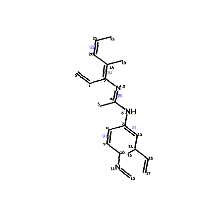 C=CC(/N=C(\C)NC(/C=C\CN=C)=C/C(C)C=C)=C(C)\C=C/C